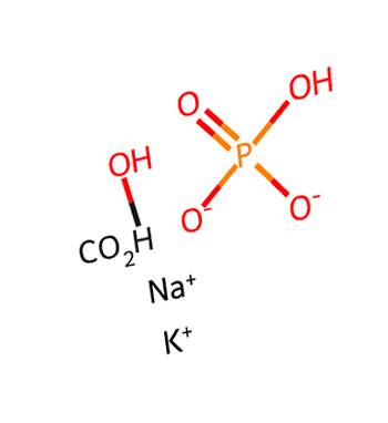 O=C(O)O.O=P([O-])([O-])O.[K+].[Na+]